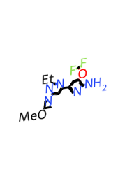 CCc1nc(-c2cnc(N)c(OC(F)F)c2)cc(N2CC(OC)C2)n1